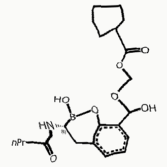 CCCC(=O)N[C@H]1Cc2cccc(C(O)OCOC(=O)C3CCCCC3)c2OB1O